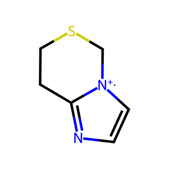 C1=C[N+]2CSCCC2=N1